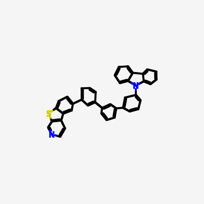 c1cc(-c2cccc(-c3ccc4sc5cnccc5c4c3)c2)cc(-c2cccc(-n3c4ccccc4c4ccccc43)c2)c1